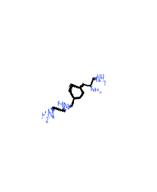 NCCNCC1CCC(CC(N)CN)CC1